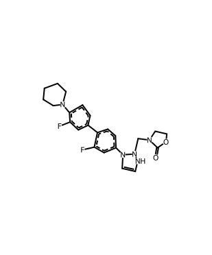 O=C1OCCN1CN1NC=CN1c1ccc(-c2ccc(N3CCCCC3)c(F)c2)c(F)c1